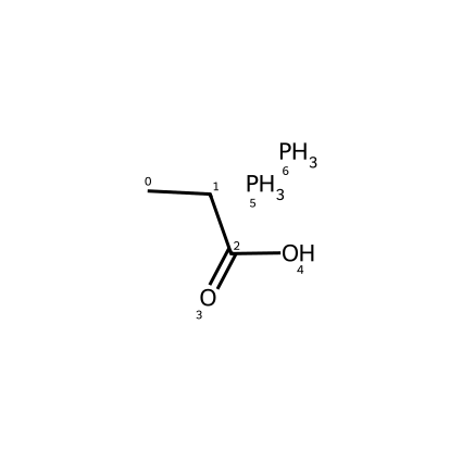 CCC(=O)O.P.P